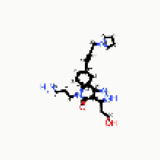 NCCCn1c(=O)c2c(CCO)[nH]nc2c2cc(C#CCN3CCCC3)ccc21